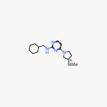 CN[C@@H]1CCN(c2ccnc(NCC3CCCCC3)n2)C1